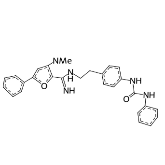 CNc1cc(-c2ccccc2)oc1C(=N)NCCc1ccc(NC(=O)Nc2ccccc2)cc1